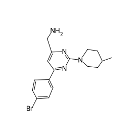 CC1CCN(c2nc(CN)cc(-c3ccc(Br)cc3)n2)CC1